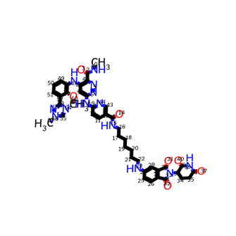 CNC(=O)c1nnc(Nc2ccc(C(=O)NCCCCCCCNc3ccc4c(c3)C(=O)N(C3CCC(=O)NC3=O)C4=O)cn2)cc1Nc1cccc(-c2ncn(C)n2)c1OC